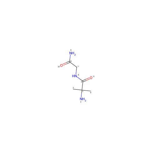 CC(C)(N)C(=O)NCC(N)=O